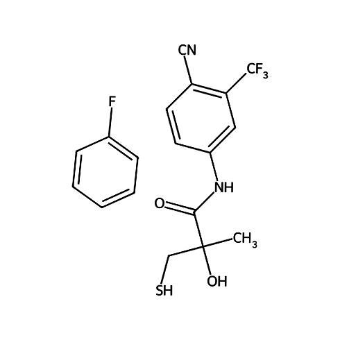 CC(O)(CS)C(=O)Nc1ccc(C#N)c(C(F)(F)F)c1.Fc1ccccc1